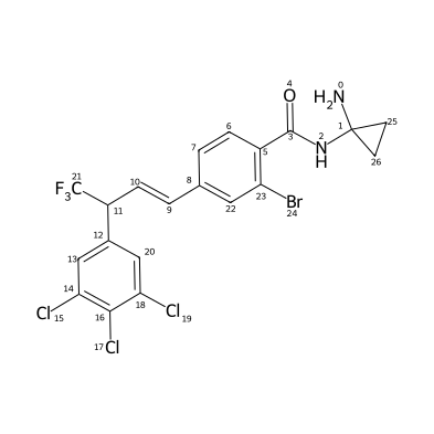 NC1(NC(=O)c2ccc(/C=C/C(c3cc(Cl)c(Cl)c(Cl)c3)C(F)(F)F)cc2Br)CC1